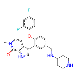 Cn1ccc2c(-c3cc(CNC4CCNCC4)ccc3Oc3ccc(F)cc3F)c[nH]c2c1=O